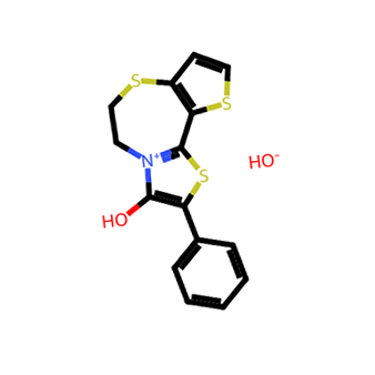 Oc1c(-c2ccccc2)sc2[n+]1CCSc1ccsc1-2.[OH-]